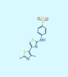 Cc1nc(C)c(-c2csc(Nc3ccc([SH](=O)=O)cc3)n2)s1